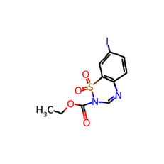 CCOC(=O)N1C=Nc2ccc(I)cc2S1(=O)=O